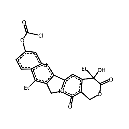 CCc1c2c(nc3cc(OC(=O)Cl)ccc13)-c1cc3c(c(=O)n1C2)COC(=O)C3(O)CC